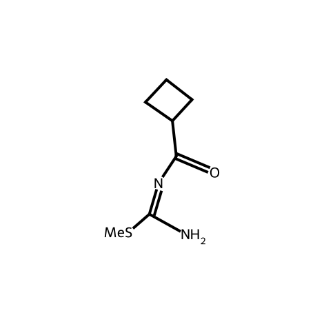 CS/C(N)=N/C(=O)C1CCC1